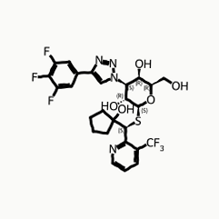 OC[C@H]1O[C@@H](S[C@@H](c2ncccc2C(F)(F)F)C2(O)CCCC2)[C@H](O)[C@@H](n2cc(-c3cc(F)c(F)c(F)c3)nn2)[C@H]1O